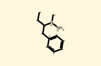 CCC(Cc1ccccc1)N(C)N